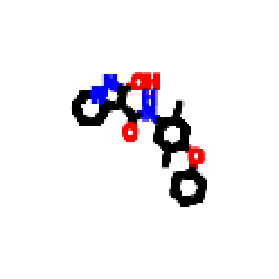 Cc1cc(Oc2ccccc2)c(C)cc1NC(=O)c1c(O)nn2ccccc12